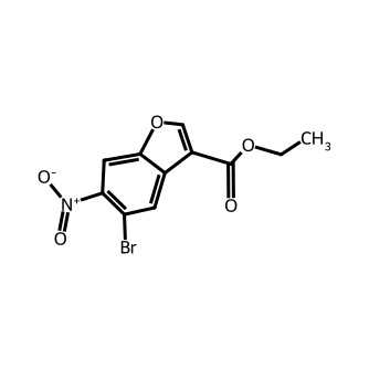 CCOC(=O)c1coc2cc([N+](=O)[O-])c(Br)cc12